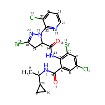 CC(NC(=O)c1cc(Cl)cc(Br)c1NC(=O)C1CC(Br)=NN1c1ncccc1Cl)C1CC1